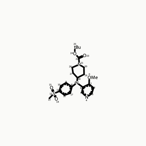 COc1ccncc1N(c1ccc(S(C)(=O)=O)cc1)C1CCN(C(=O)OC(C)(C)C)CC1